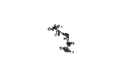 CC(C)(C)OC(=O)N(CCCCNCc1cccc(CNCCCCN(CCCCN(C(=O)OC(C)(C)C)C(=O)OC(C)(C)C)C(=O)OC(C)(C)C)c1)CCCCN(C(=O)OC(C)(C)C)C(=O)OC(C)(C)C